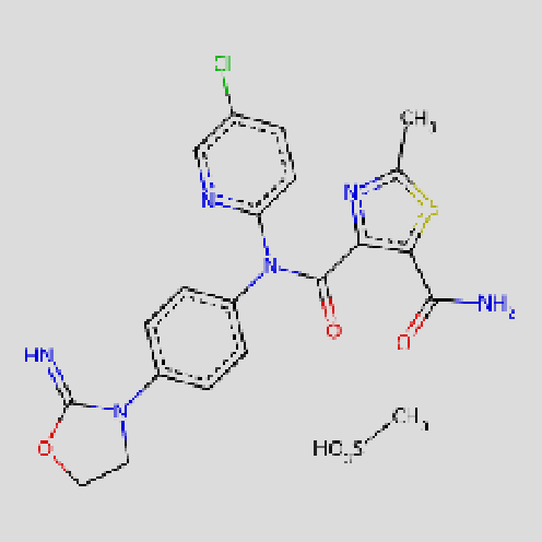 CS(=O)(=O)O.Cc1nc(C(=O)N(c2ccc(N3CCOC3=N)cc2)c2ccc(Cl)cn2)c(C(N)=O)s1